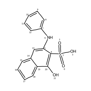 O=S(=O)(O)c1c(Nc2ccccc2)cc2ccccc2c1O